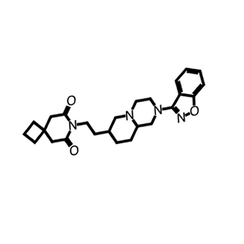 O=C1CC2(CCC2)CC(=O)N1CCC1CCC2CN(c3noc4ccccc34)CCN2C1